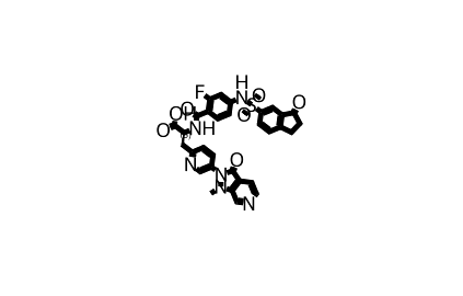 Cn1c2cnccc2c(=O)n1-c1ccc(C[C@H](NC(=O)c2ccc(NS(=O)(=O)c3ccc4c(c3)C(=O)CC4)cc2F)C(=O)O)nc1